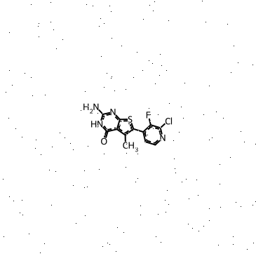 Cc1c(-c2ccnc(Cl)c2F)sc2nc(N)[nH]c(=O)c12